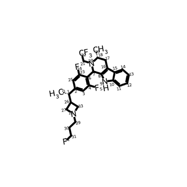 C[C@H](c1cc(F)c(C2c3[nH]c4ccccc4c3C[C@@H](C)N2CC(F)(F)F)c(F)c1)C1CN(CCCF)C1